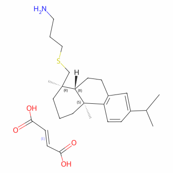 CC(C)c1ccc2c(c1)CC[C@H]1[C@](C)(CSCCCN)CCC[C@]21C.O=C(O)/C=C/C(=O)O